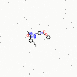 CCCCc1cccc(C(C=O)(CCCC)NC(=N)NCC2CCN(C(=O)COc3ccccc3)CC2)c1